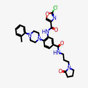 Cc1ccccc1N1CCN(c2ccc(C(=O)NCCCN3CCCC3=O)cc2NC(=O)c2coc(Cl)n2)CC1